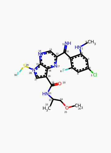 CNc1cc(Cl)cc(F)c1C(=N)c1cnc2c(n1)c(C(=O)NC(C)COC)cn2SF